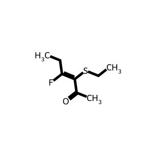 CCS/C(C(C)=O)=C(/F)CC